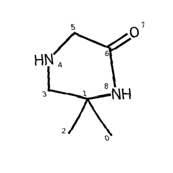 CC1(C)CNCC(=O)N1